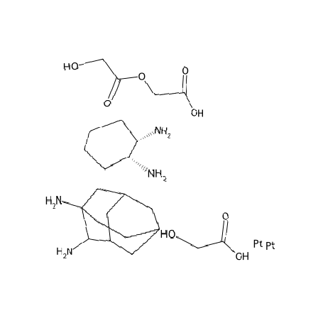 NC1C2CC3CC(C2)CC1(N)C3.N[C@@H]1CCCC[C@@H]1N.O=C(O)CO.O=C(O)COC(=O)CO.[Pt].[Pt]